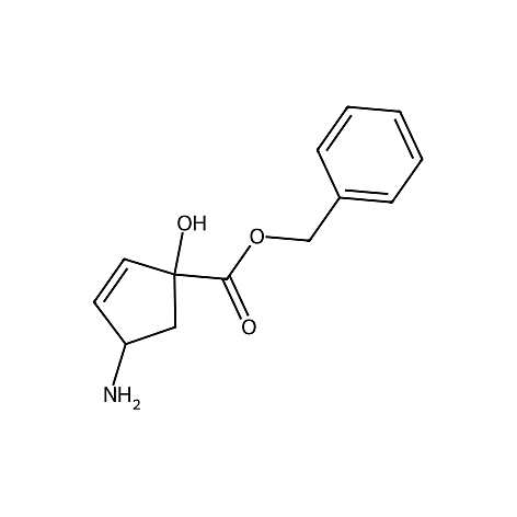 NC1C=CC(O)(C(=O)OCc2ccccc2)C1